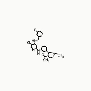 CCN1CCN(C(C)=O)C(c2cccc(Nc3cc(NCc4cccc(F)c4)c(Cl)cn3)c2)C1